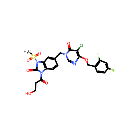 CS(=O)(=O)n1c(=O)n(C(=O)CCO)c2ccc(Cn3cnc(OCc4ccc(F)cc4F)c(Cl)c3=O)cc21